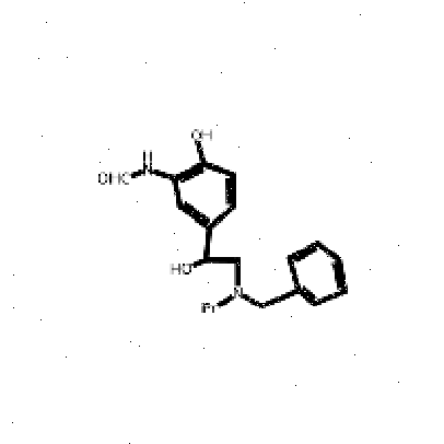 CC(C)N(Cc1ccccc1)CC(O)c1ccc(O)c(NC=O)c1